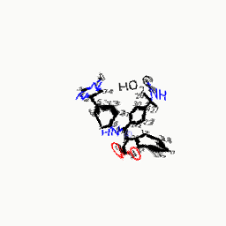 Cn1cnc(-c2ccc(N/C(=C3\C(=O)Oc4ccccc43)c3ccc(C(C)(C)NC(=O)O)cc3)cc2)c1